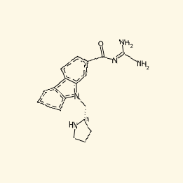 NC(N)=NC(=O)c1ccc2c3ccccc3n(C[C@@H]3CCCN3)c2c1